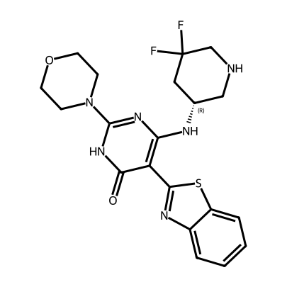 O=c1[nH]c(N2CCOCC2)nc(N[C@H]2CNCC(F)(F)C2)c1-c1nc2ccccc2s1